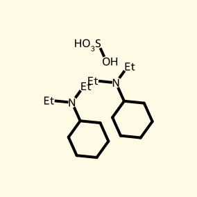 CCN(CC)C1CCCCC1.CCN(CC)C1CCCCC1.O=S(=O)(O)O